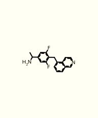 CC(N)c1cc(F)c(Cc2cccc3cnccc23)c(F)c1